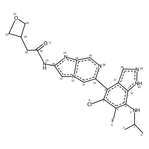 CC(C)Nc1c(F)c(Cl)c(-c2cn3cc(NC(=O)CC4COC4)nc3cn2)c2cn[nH]c12